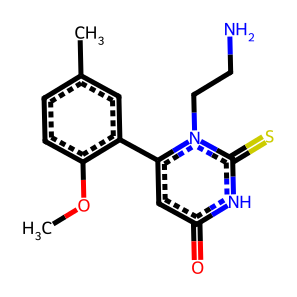 COc1ccc(C)cc1-c1cc(=O)[nH]c(=S)n1CCN